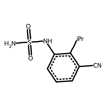 CC(C)c1c(C#N)cccc1NS(N)(=O)=O